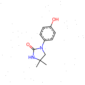 CC1(C)CN(c2ccc(O)cc2)C(=O)N1